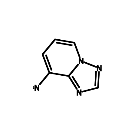 [N]c1cccn2ncnc12